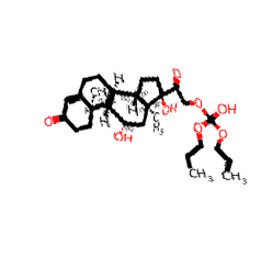 CCCOC(O)(OCCC)OCC(=O)[C@@]1(O)CC[C@H]2[C@@H]3CCC4=CC(=O)CC[C@]4(C)[C@H]3[C@@H](O)C[C@@]21C